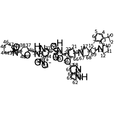 CC(C)c1ccccc1[C@H]1CCCN1C1CC2(CCN(c3ccc(C(=O)NS(=O)(=O)c4cnc(NCC5CCC(N=S6(=O)CCCCC6)CO5)c([N+](=O)[O-])c4)c(Oc4cnc5[nH]ccc5c4)c3)CC2)C1